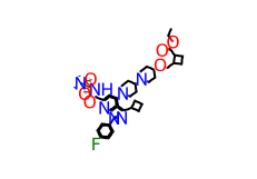 CCOC(=O)C1CCC1COC1CCN(C2CCN(c3cc(C(=O)NS(=O)(=O)N(C)C)nc4c3c(C3CCC3)nn4-c3ccc(F)cc3)CC2)CC1